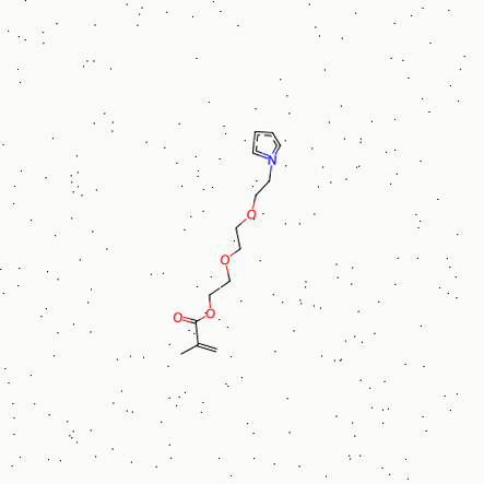 C=C(C)C(=O)OCCOCCOCCn1cccc1